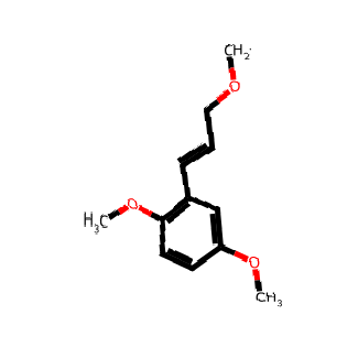 [CH2]OCC=Cc1cc(OC)ccc1OC